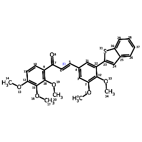 COc1cc(/C=C/C(=O)c2ccc(OC)c(OC)c2OC)cc(-c2cc3ccccc3s2)c1OC